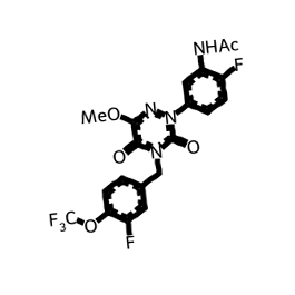 COc1nn(-c2ccc(F)c(NC(C)=O)c2)c(=O)n(Cc2ccc(OC(F)(F)F)c(F)c2)c1=O